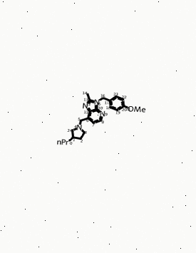 CCCC1CCN(Cc2ccnc3c2nc(C)n3Cc2ccc(OC)cc2)C1